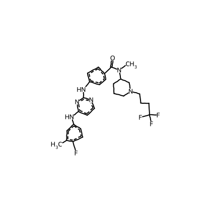 Cc1cc(Nc2ccnc(Nc3ccc(C(=O)N(C)C4CCCN(CCCC(F)(F)F)C4)cc3)n2)ccc1F